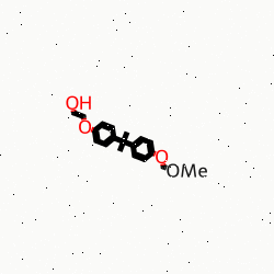 COCOc1ccc(C(C)(C)c2ccc(OCCO)cc2)cc1